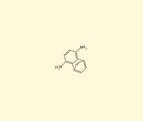 Nc1ccc(N)c2c3ccc(cc3)c12